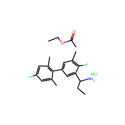 CCC(N)c1cc(-c2c(C)cc(F)cc2C)cc(C)c1F.CCOC(C)=O.Cl